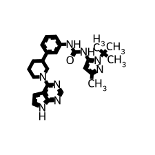 Cc1cc(NC(=O)Nc2cccc(C3CCCN(c4ncnc5[nH]ccc45)C3)c2)n(C(C)(C)C)n1